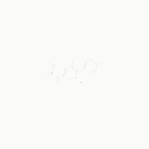 C=NC(=C)Nc1cc(C)c(-c2ccc(C)cc2)c(C(F)(F)F)c1